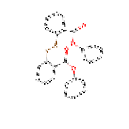 O=C(Oc1ccccc1)c1ccccc1SSc1ccccc1C(=O)Oc1ccccc1